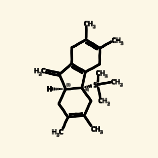 C=C1C2=C(CC(C)=C(C)C2)[C@@]2([Si](C)(C)C)CC(C)=C(C)C[C@@H]12